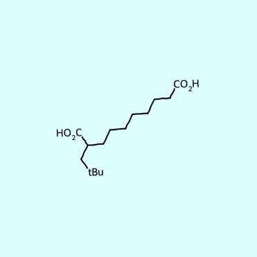 CC(C)(C)CC(CCCCCCCC(=O)O)C(=O)O